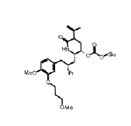 C=C(C)C1C[C@H](OC(=O)OC(C)(C)C)[C@H](C[C@H](Cc2ccc(OC)c(OCCCOC)c2)C(C)C)NC1=O